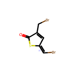 O=C1S/C(=C/Br)C=C1CBr